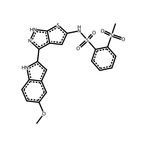 COc1ccc2[nH]c(-c3n[nH]c4sc(NS(=O)(=O)c5ccccc5S(C)(=O)=O)cc34)cc2c1